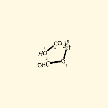 CCOC=O.O=C(O)O